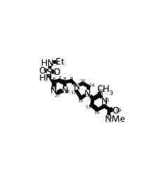 CCNS(=O)(=O)Nc1cc(CN2CCN(c3ccc(C(=O)NC)nc3C)CC2)ncn1